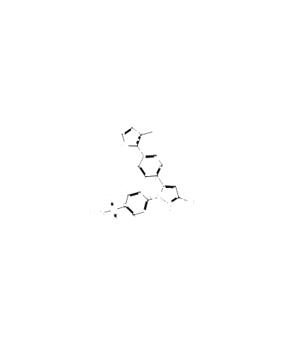 Cc1ccsc1-c1ccc(-c2cc(C(F)(F)F)nn2-c2ccc(S(N)(=O)=O)cc2)cc1